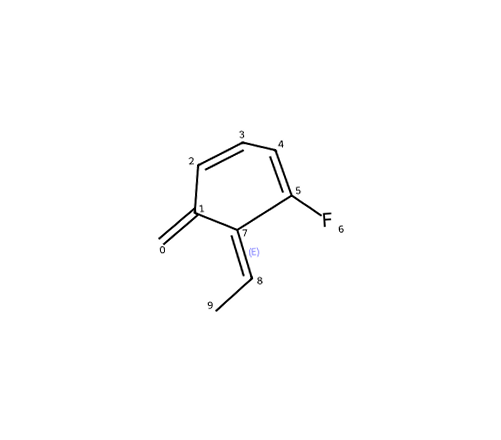 C=c1cccc(F)/c1=C/C